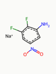 Nc1cccc(F)c1F.O=N[O-].[Na+]